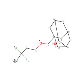 CC(C)(C)C(F)(F)CCOCC12CC3CC(C1)C(O)C(C3)C2